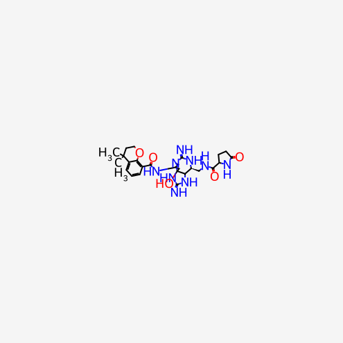 CC1(C)CCOc2c(C(=O)NC3CN4C(=N)N[C@@H](CNC(=O)C5CCC(=O)N5)C5NC(=N)NC54[C@@H]3O)cccc21